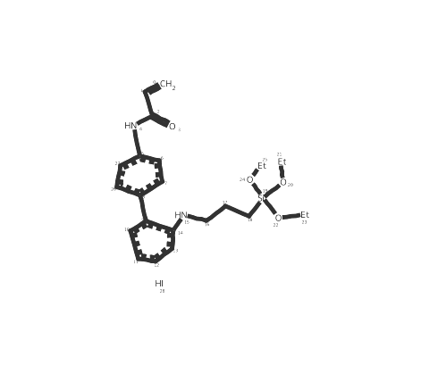 C=CC(=O)Nc1ccc(-c2ccccc2NCCC[Si](OCC)(OCC)OCC)cc1.I